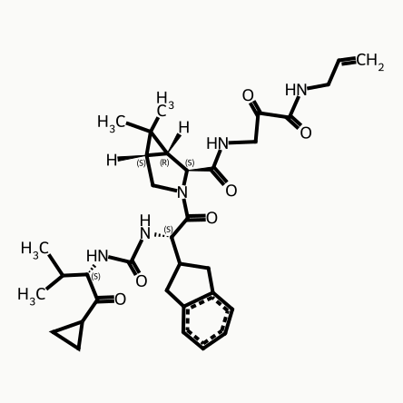 C=CCNC(=O)C(=O)CNC(=O)[C@@H]1[C@@H]2[C@H](CN1C(=O)[C@@H](NC(=O)N[C@H](C(=O)C1CC1)C(C)C)C1Cc3ccccc3C1)C2(C)C